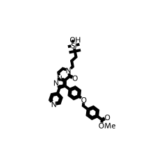 COC(=O)c1ccc(COc2ccc(-c3c(-c4ccncc4)nn4c3C(=O)N(CCCC(C)(C)[Si](C)(C)O)CC4)cc2)cc1